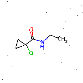 CCNC(=O)C1(Cl)CC1